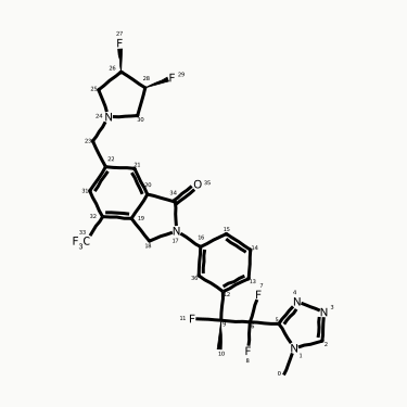 Cn1cnnc1C(F)(F)[C@](C)(F)c1cccc(N2Cc3c(cc(CN4C[C@@H](F)[C@@H](F)C4)cc3C(F)(F)F)C2=O)c1